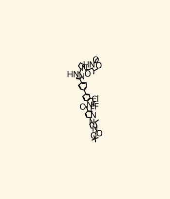 COC(=O)NC(C(=O)N1CCCC1c1nc(-c2ccc(-c3ccc(N(C(=O)c4ccc(N5CCN(C(=O)OC(C)(C)C)CC5C)nc4)C(F)(F)F)c(Cl)c3)cc2)c[nH]1)C(C)C